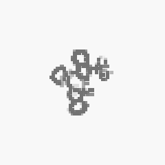 O=[N+]([O-])c1ccc(N2CCCCN2CCc2ccccc2C(F)(F)F)c2ccccc12